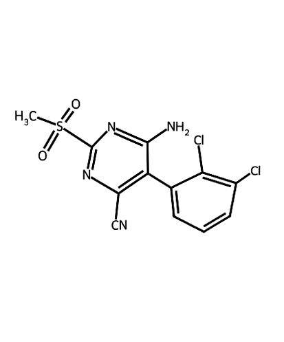 CS(=O)(=O)c1nc(N)c(-c2cccc(Cl)c2Cl)c(C#N)n1